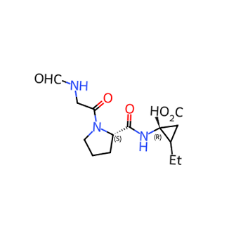 CCC1C[C@]1(NC(=O)[C@@H]1CCCN1C(=O)CNC=O)C(=O)O